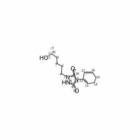 C[C@@H](O)CCCCn1[nH]c(=O)n(C2=CCCC=C2)c1=O